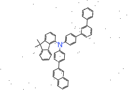 CC1(C)c2ccccc2-c2c(N(c3ccc(-c4cccc(-c5ccccc5)c4)cc3)c3ccc(-c4ccc5ccccc5c4)cc3)cccc21